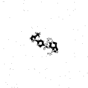 COc1ncc2cnn(C)c2c1NS(=O)(=O)c1ccc(-n2nccc2C(F)(F)F)nc1